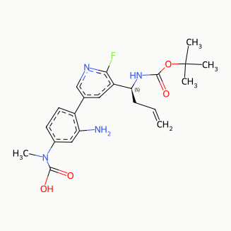 C=CC[C@H](NC(=O)OC(C)(C)C)c1cc(-c2ccc(N(C)C(=O)O)cc2N)cnc1F